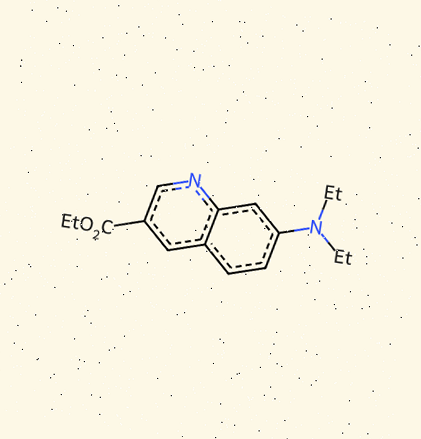 CCOC(=O)c1cnc2cc(N(CC)CC)ccc2c1